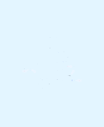 O=C(NO)[C@H]1CC(=Cc2ccccc2)CC[C@@H]1C(=O)N1CCN(c2ccccc2)CC1.O=C(O)C(F)(F)F